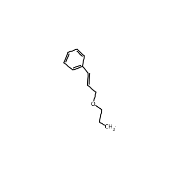 [CH2]CCOC/C=C/c1ccccc1